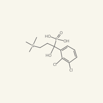 C[Si](C)(C)CCC(O)(c1cccc(Cl)c1Cl)P(=O)(O)O